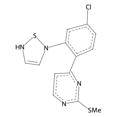 CSc1nccc(-c2ccc(Cl)cc2N2C=CNS2)n1